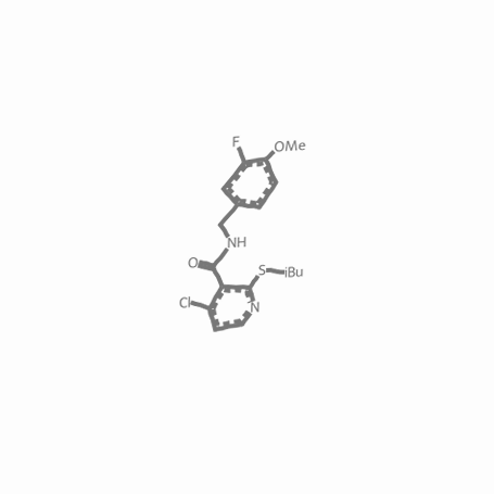 CCC(C)Sc1nccc(Cl)c1C(=O)NCc1ccc(OC)c(F)c1